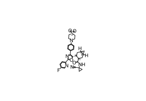 N#CC1(NC(=O)[C@@H]2C[C@H]3C[C@H]3C[C@H]2c2oc(-c3ccc(F)cn3)nc2-c2ccc(N3CCS(=O)(=O)CC3)cc2)CC1